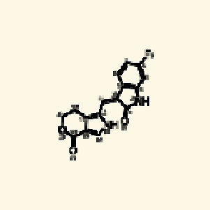 O=C1Nc2cc(F)ccc2C1=Cc1[nH]cc2c1CCOC2=O